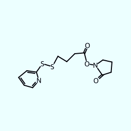 O=C(CCCSSc1ccccn1)ON1CCCC1=O